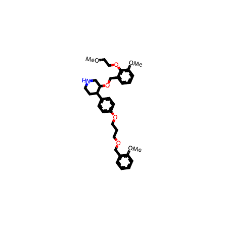 COCCOc1c(COC2CNCCC2c2ccc(OCCCOCc3ccccc3OC)cc2)cccc1OC